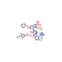 COCCn1c(C(=O)OC)cc2cc(OCc3ccccc3)cc(N3C[C@@H](C)n4c(c(CCCOc5cc(C)c(Cl)c(C)c5)c5ccc(Cl)c(-c6c(C)nn(C)c6C)c54)C3=O)c21